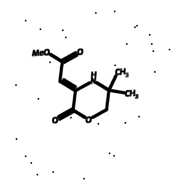 COC(=O)C=C1NC(C)(C)COC1=O